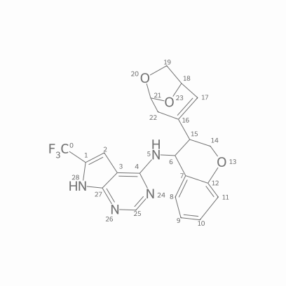 FC(F)(F)c1cc2c(NC3c4ccccc4OCC3C3=CC4COC(C3)O4)ncnc2[nH]1